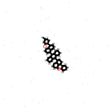 Cc1ccc2c(c1)Oc1ccc(-c3c4ccccc4c(-c4ccc5c6c(cccc46)Oc4ccccc4-5)c4ccccc34)c3cccc-2c13